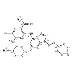 Cc1cc(Nc2nc(N[C@@H]3CCCC[C@@H]3N)c(F)cc2C(N)=O)c2ccn(CCN3CCOCC3)c2c1